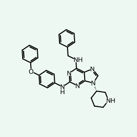 c1ccc(CNc2nc(Nc3ccc(Oc4ccccc4)cc3)nc3c2ncn3[C@H]2CCCNC2)cc1